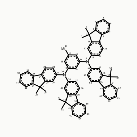 CC1(C)c2ccccc2-c2ccc(N(c3cc(Br)cc(N(c4ccc5c(c4)C(C)(C)c4ccccc4-5)c4ccc5c(c4)C(C)(C)c4ccccc4-5)c3)c3ccc4c(c3)C(C)(C)c3ccccc3-4)cc21